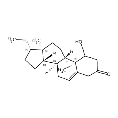 CC[C@H]1CC[C@H]2[C@@H]3CC=C4CC(=O)CC(O)[C@]4(C)[C@H]3CC[C@]12C